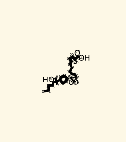 CCCCC(O)C(C)(C)c1ccc(N2C(CCCc3ccc(C(=O)O)s3)CCS2(=O)=O)cc1